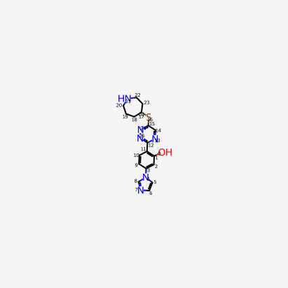 Oc1cc(-n2ccnc2)ccc1-c1ncc(S[C@H]2CCCNCC2)nn1